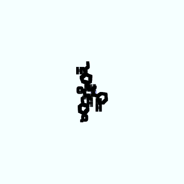 C/C=C(/N[C@@H](Cc1ccc(OC)cc1)C(=O)Nc1ccc(NCC)cc1)C1CCCCN1